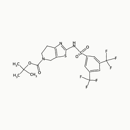 CC(C)(C)OC(=O)N1CCc2nc(NS(=O)(=O)c3cc(C(F)(F)F)cc(C(F)(F)F)c3)sc2C1